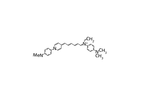 C=C\[N+](=C/C=C/C=C/C=C1C=CN(c2ccc(NC)cc2)C=C1)c1ccc(N(C)C)cc1